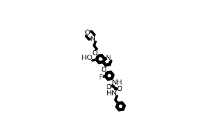 O=C(NCCc1ccccc1)C(=O)Nc1ccc(Oc2ccnc3cc(OCCCN4CCOCC4)c(CO)cc23)c(F)c1